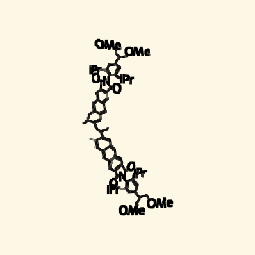 COCC(COC)c1cc(C(C)C)c(N2C(=O)c3cc4cc5c(cc4cc3C2=O)CC(C)C(CC(C)c2cc3cc4cc6c(cc4cc3cc2C)C(=O)N(c2c(C(C)C)cc(C(COC)COC)cc2C(C)C)C6=O)=C5)c(C(C)C)c1